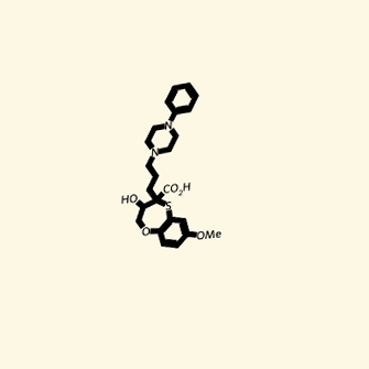 COc1ccc2c(c1)SC(CCCN1CCN(c3ccccc3)CC1)(C(=O)O)C(O)CO2